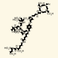 CC(=O)CN1CCN(CC(=O)O)CCN(CC(=O)NCCCn2cc(COc3ccc(CN(CCCCCC(=O)NCCCC[C@H](NC(=O)N[C@@H](CCC(=O)O)C(=O)O)C(=O)O)Cc4nccn4CC(=O)N(CC(=O)NC(C)(CC(=O)O)CC(=O)O)CC(=O)NC(CC(=O)O)(CC(=O)O)CC(=O)O)cc3)nn2)CCN(CC(=O)O)CC1